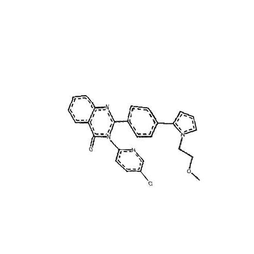 COCCn1cccc1-c1ccc(-c2nc3ccccc3c(=O)n2-c2ccc(Cl)cn2)cc1